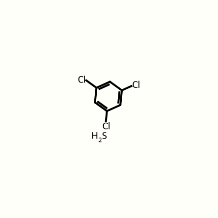 Clc1cc(Cl)cc(Cl)c1.S